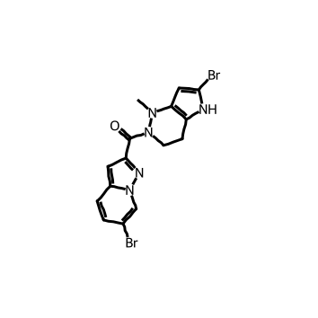 CN1c2cc(Br)[nH]c2CCN1C(=O)c1cc2ccc(Br)cn2n1